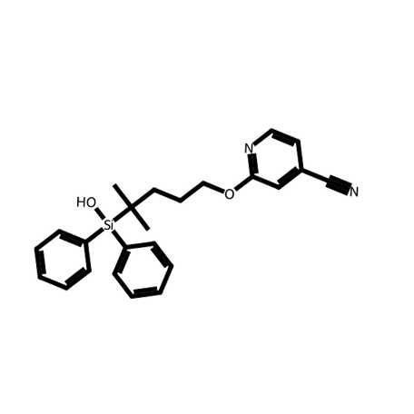 CC(C)(CCCOc1cc(C#N)ccn1)[Si](O)(c1ccccc1)c1ccccc1